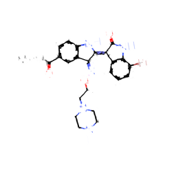 COC(=O)c1ccc2c(c1)C(=N\OCCN1CCNCC1)/C(=C1/C(=O)Nc3c(Br)cccc31)N2